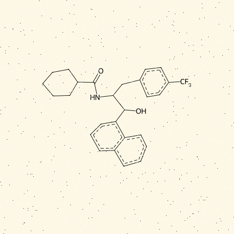 O=C(NC(Cc1ccc(C(F)(F)F)cc1)C(O)c1cccc2ccccc12)C1CCCCC1